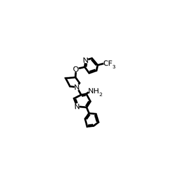 Nc1cc(-c2ccccc2)ncc1N1CCC(Oc2ccc(C(F)(F)F)cn2)C1